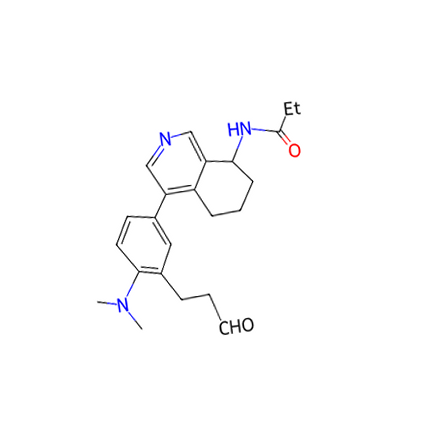 CCC(=O)NC1CCCc2c(-c3ccc(N(C)C)c(CCC=O)c3)cncc21